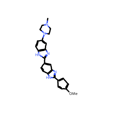 COc1ccc(-c2nc3cc(-c4nc5cc(N6CCN(C)CC6)ccc5[nH]4)ccc3[nH]2)cc1